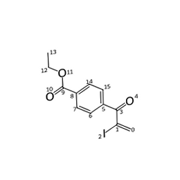 C=C(I)C(=O)c1ccc(C(=O)OCC)cc1